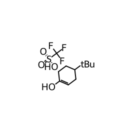 CC(C)(C)C1CC=C(O)CC1.O=S(=O)(O)C(F)(F)F